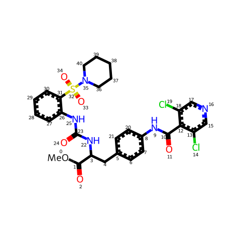 COC(=O)C(Cc1ccc(NC(=O)c2c(Cl)cncc2Cl)cc1)NC(=O)Nc1ccccc1S(=O)(=O)N1CCCCC1